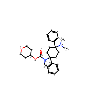 CN(C)C1(c2ccccc2)CCC(c2ccccc2)(N(C)C(=O)OC2CCOCC2)CC1